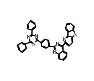 c1ccc(-c2nc(-c3ccccc3)nc(-c3ccc(-c4nc(-c5ccc6sc7ccccc7c6n5)c5ccccc5n4)cc3)n2)cc1